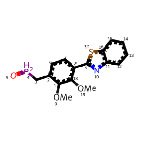 COc1c(C[PH2]=O)ccc(-c2nc3ccccc3s2)c1OC